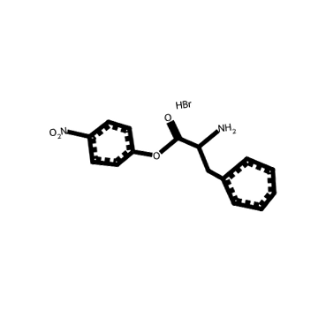 Br.NC(Cc1ccccc1)C(=O)Oc1ccc([N+](=O)[O-])cc1